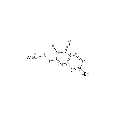 COCCc1nc2cc(Br)ccc2c(=O)n1C